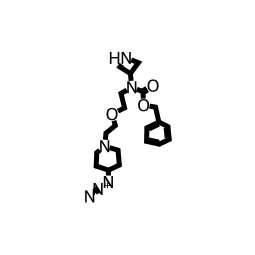 [N-]=[N+]=NC1CCN(CCOCCN(C(=O)OCc2ccccc2)C2CNC2)CC1